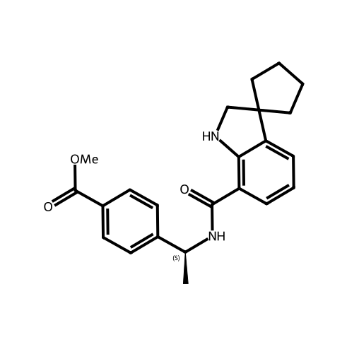 COC(=O)c1ccc([C@H](C)NC(=O)c2cccc3c2NCC32CCCC2)cc1